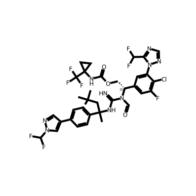 CC(C)(C)CC(C)(NC(=N)N(C=O)[C@H](COC(=O)NC1(C(F)(F)F)CC1)c1cc(F)c(Cl)c(-n2ncnc2C(F)F)c1)c1ccc(-c2cnn(C(F)F)c2)cc1